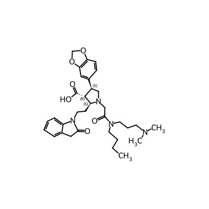 CCCCN(CCCN(C)C)C(=O)CN1C[C@H](c2ccc3c(c2)OCO3)[C@@H](C(=O)O)[C@@H]1CCN1C(=O)Cc2ccccc21